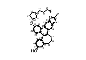 Cc1nc2cc(C3=C(c4ccc(O[C@H]5CCN(CCCF)C5)cc4)c4ccc(O)cc4CCC3)ccc2o1